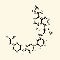 CC[C@@](C)(CNc1cc(-c2cnc(NC3CCN(CC(F)F)CC3)nc2)ncn1)c1cccc2c(C(=O)NC)ccnc12